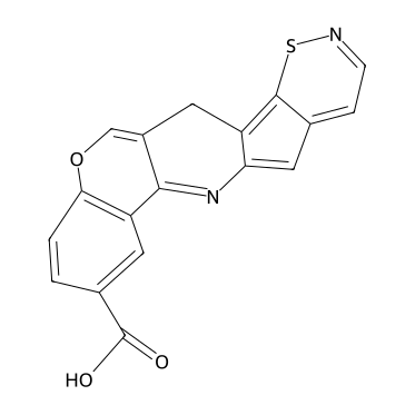 O=C(O)c1ccc2c(c1)C1=Nc3cc4ccnsc-4c3CC1=CO2